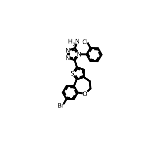 Nc1nnc(-c2cc3c(s2)-c2ccc(Br)cc2OCC3)n1-c1ccccc1Cl